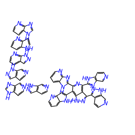 c1cc2[nH]cnc2cn1.c1cc2cn[nH]c2cn1.c1cc2cn[nH]c2cn1.c1cnc2[nH]ncc2c1.c1cnc2cc(-c3c(-c4nc5ncccc5[nH]4)nc(-c4nc5cnccc5[nH]4)c4c(-c5n[nH]c6cnccc56)n[nH]c34)[nH]c2c1.c1cnc2cc[nH]c2c1.c1cnc2nc[nH]c2c1